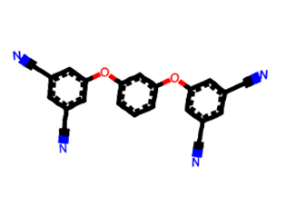 N#Cc1cc(C#N)cc(Oc2cccc(Oc3cc(C#N)cc(C#N)c3)c2)c1